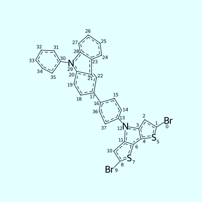 Brc1cc2c(s1)c1sc(Br)cc1n2-c1ccc(-c2ccc3c(c2)c2ccccc2n3-c2ccccc2)cc1